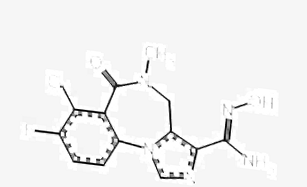 CN1Cc2c(C(N)=NO)ncn2-c2ccc(F)c(Cl)c2C1=O